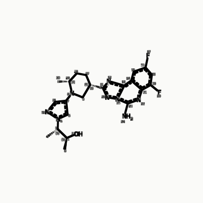 C[C@H](O)[C@H](C)n1cc(N2C[C@@H](c3nc4c5cc(F)cc(F)c5nc(N)n4n3)CC[C@H]2C)cn1